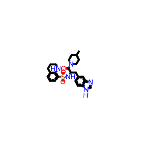 CC1CCN(C(=O)C(Cc2ccc3[nH]cnc3c2)NS(=O)(=O)c2cccc3c2NCCC3)CC1